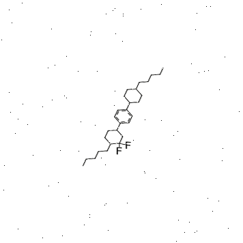 CCCCCC1CCC(c2ccc(C3CCC(CCCCC)C(F)(F)C3)cc2)CC1